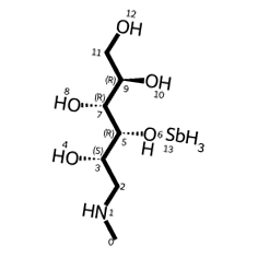 CNC[C@H](O)[C@@H](O)[C@H](O)[C@H](O)CO.[SbH3]